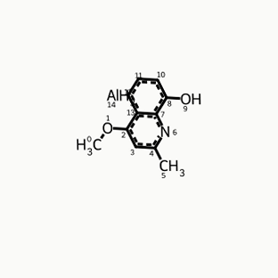 COc1cc(C)nc2c(O)cccc12.[AlH3]